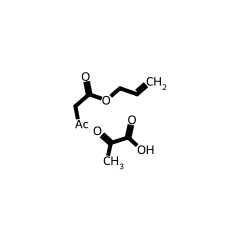 C=CCOC(=O)CC(C)=O.CC(=O)C(=O)O